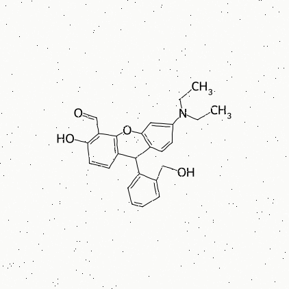 CCN(CC)c1ccc2c(c1)Oc1c(ccc(O)c1C=O)C2c1ccccc1CO